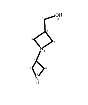 OCC1CN(C2CNC2)C1